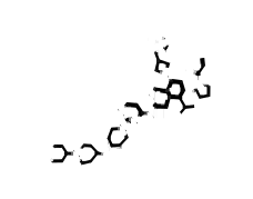 C=CC(=O)N1CCC[C@@H]1c1cc(N2CC(CS(C)(=O)=O)C2)c2cnc(Nc3ccnc(N4CC[C@@H](OC5CCN(C6CCOCC6)CC5)[C@@H](F)C4)n3)cc2c1C(C)C